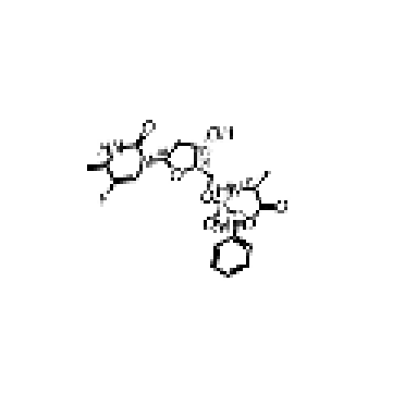 C=C1NC(=O)N([C@H]2C[C@H](O)[C@@H](COP(=O)(N[C@@H](C)C(=O)OC)Oc3ccccc3)O2)C=C1F